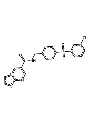 O=C(NCc1ccc(S(=O)(=O)c2cccc(Cl)c2)cc1)c1cnc2nccn2c1